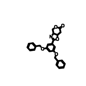 O=C1CC2OC(c3cc(OCc4ccccc4)cc(OCc4ccccc4)c3)=NC2CO1